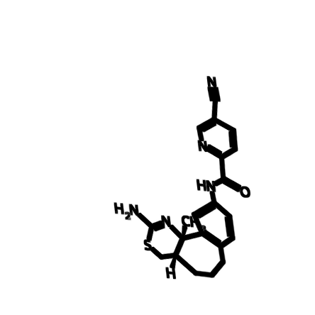 C[C@]12N=C(N)SC[C@H]1CCCc1ccc(NC(=O)c3ccc(C#N)cn3)cc12